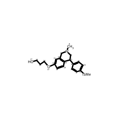 CSc1ccc(C2CN(C)Cc3cc(OCCCO)ccc32)cc1